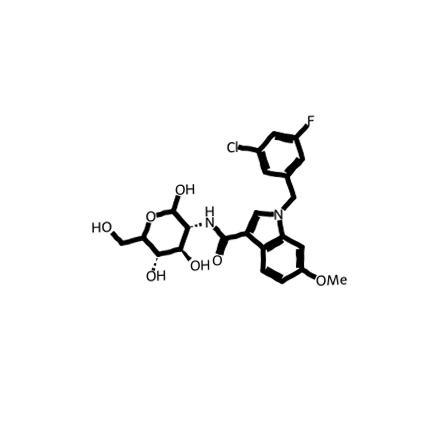 COc1ccc2c(C(=O)N[C@H]3C(O)OC(CO)[C@@H](O)[C@@H]3O)cn(Cc3cc(F)cc(Cl)c3)c2c1